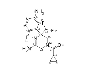 NC1=NC(c2cc(N)ccc2F)(C(F)F)CN(C(=O)C2CC2)C1